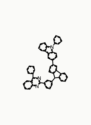 c1ccc(-c2nc(-c3cccc(C4c5ccccc5-c5cc(-c6ccc7c(c6)c6ccccc6n7-c6ccccc6)ccc54)c3)nc3ccccc23)cc1